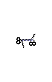 CCCC\N=C(/C=C/C=C/C=c1/c2cccc3cccc(c32)n1CCCC)c1cccc2cccc(C)c12